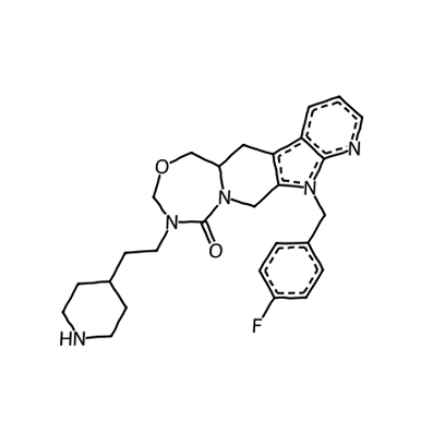 O=C1N(CCC2CCNCC2)COCC2Cc3c(n(Cc4ccc(F)cc4)c4ncccc34)CN12